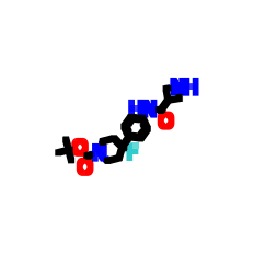 CC(C)(C)OC(=O)N1CCC(F)(c2ccc(NC(=O)C3CNC3)cc2)CC1